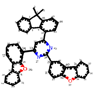 CC1(C)c2ccccc2-c2c(-c3cc(-c4cccc5c4oc4ccccc45)nc(-c4ccc5oc6ccccc6c5c4)n3)cccc21